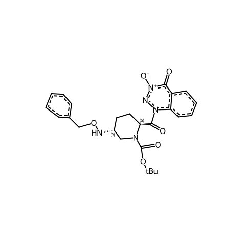 CC(C)(C)OC(=O)N1C[C@H](NOCc2ccccc2)CC[C@H]1C(=O)n1n[n+]([O-])c(=O)c2ccccc21